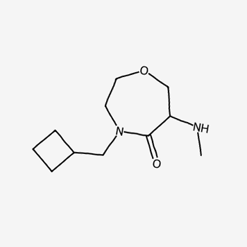 CNC1COCCN(CC2CCC2)C1=O